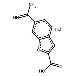 Cl.N=C(N)c1ccc2cc(C(=O)O)oc2c1